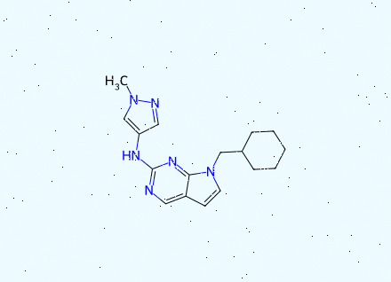 Cn1cc(Nc2ncc3ccn(CC4CCCCC4)c3n2)cn1